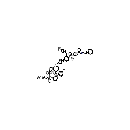 COC(=O)N[C@H]1CCC[C@@H]1[C@](CN1CCCC1=O)(c1cccc(F)c1)C1CCN(CC2CN(c3ccc(S(=O)(=O)C4CN(C(=O)/C=C/CN5CCCCC5)C4)c(CN4CC(F)C4)c3)C2)CC1